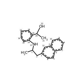 CC(Cc1ccc2ccccc2c1)Nc1ccccc1C(C)O